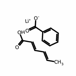 C/C=C/C=C/C(=O)O.O=C([O-])c1ccccc1.[Li+]